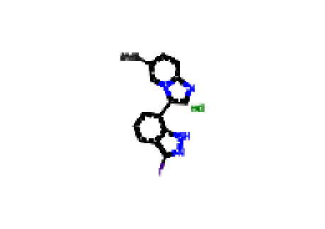 CNc1ccc2ncc(-c3cccc4c(I)n[nH]c34)n2c1.Cl